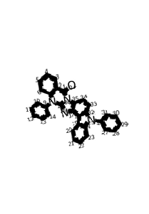 O=c1c2ccccc2n(-c2ccccc2)c2nc3c4c5ccccc5n(-c5ccccc5)c4ccc3n12